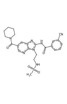 CS(=O)(=O)NCCn1c(NC(=O)c2cccc(C#N)c2)nc2cc(C(=O)N3CCCCC3)cnc21